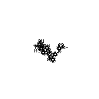 Cc1ccc(C(=O)c2ccccc2C(=O)O)c(C)c1.NC(CC(=O)O)C(=O)O.O=C(O)C(C(=O)O)C1c2ccccc2Oc2ccccc21.O=C(O)c1cc(Br)ccc1Cl.O=C(O)c1cnc(O)cn1